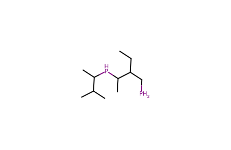 CCC(CP)C(C)PC(C)C(C)C